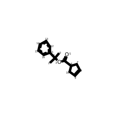 CC(C)(OC(=O)C1CC=CC1)c1ccccc1